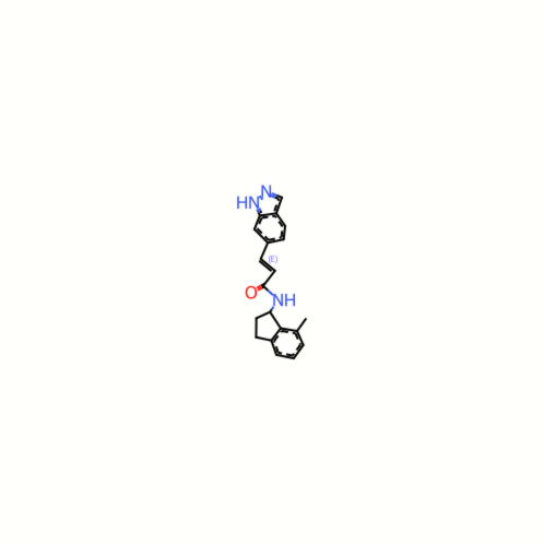 Cc1cccc2c1C(NC(=O)/C=C/c1ccc3cn[nH]c3c1)CC2